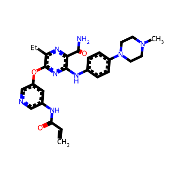 C=CC(=O)Nc1cncc(Oc2nc(Nc3ccc(N4CCN(C)CC4)cc3)c(C(N)=O)nc2CC)c1